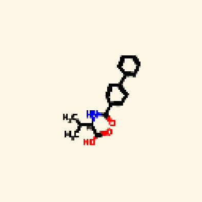 CC(C)[C@@H](NC(=O)c1ccc(-c2ccccc2)cc1)C(=O)O